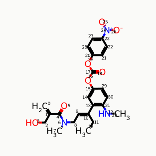 C=C(CO)C(=O)N(C)C/C=C(\CC)c1cc(OC(=O)Oc2ccc([N+](=O)[O-])cc2)ccc1NC